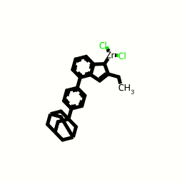 CCC1=Cc2c(-c3ccc(C45CC6CC(CC(C6)C4)C5)cc3)cccc2[CH]1[Zr]([Cl])[Cl]